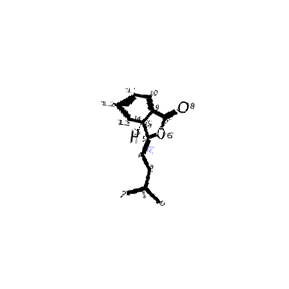 CC(C)C/C=C1\OC(=O)C2=CC=CC[C@@H]21